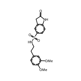 COc1ccc(CCNS(=O)(=O)c2ccc3c(c2)CC(=O)N3)cc1OC